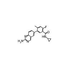 Cc1cc(F)c(C(=O)NC2CC2)cc1-c1ccc2nc(N)ncc2c1